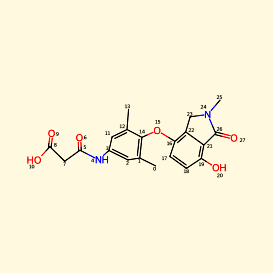 Cc1cc(NC(=O)CC(=O)O)cc(C)c1Oc1ccc(O)c2c1CN(C)C2=O